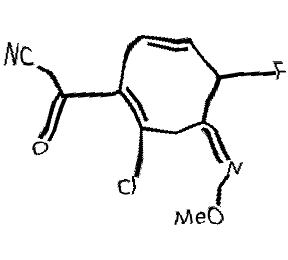 CON=C1C(Cl)=C(C(=O)C#N)C=CC1F